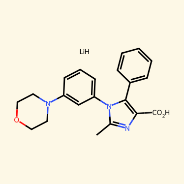 Cc1nc(C(=O)O)c(-c2ccccc2)n1-c1cccc(N2CCOCC2)c1.[LiH]